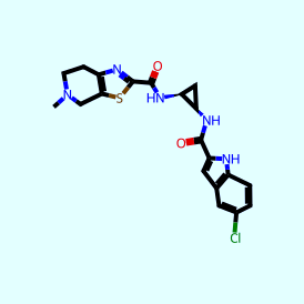 CN1CCc2nc(C(=O)N[C@H]3C[C@H]3NC(=O)c3cc4cc(Cl)ccc4[nH]3)sc2C1